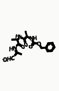 CC([C]=O)NC(=O)C(C)NC(=O)C(C)NC(=O)OCc1ccccc1